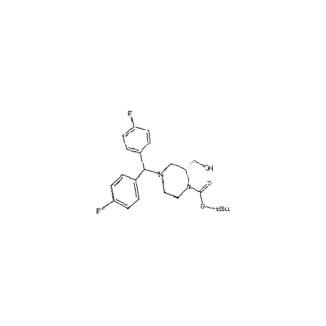 CC(C)(C)OC(=O)N1CCN(C(c2ccc(F)cc2)c2ccc(F)cc2)C[C@@H]1CO